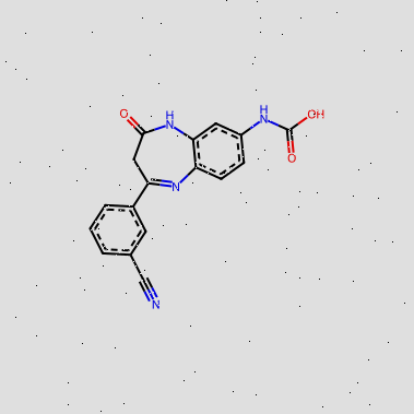 N#Cc1cccc(C2=Nc3ccc(NC(=O)O)cc3NC(=O)C2)c1